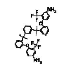 CC(C)(c1cccc(C(C)(C)c2ccccc2Oc2ccc(N)cc2C(F)(F)F)c1)c1ccccc1Oc1ccc(N)cc1C(F)(F)F